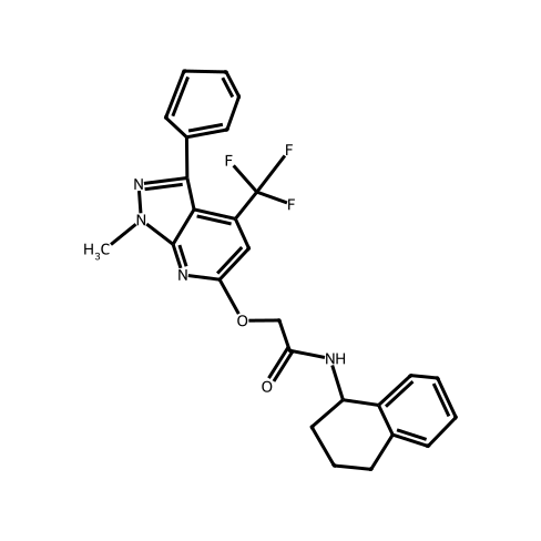 Cn1nc(-c2ccccc2)c2c(C(F)(F)F)cc(OCC(=O)NC3CCCc4ccccc43)nc21